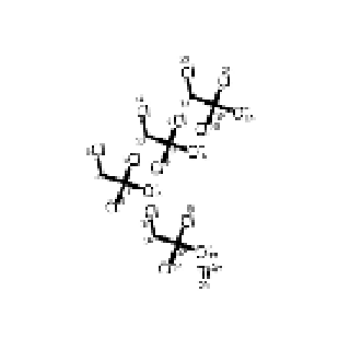 [O-]C(Cl)(Cl)CCl.[O-]C(Cl)(Cl)CCl.[O-]C(Cl)(Cl)CCl.[O-]C(Cl)(Cl)CCl.[Ti+4]